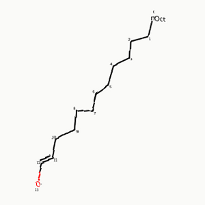 CCCCCCCCCCCCCCCCCC/C=C/[O]